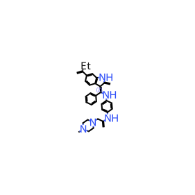 C=C(CN1CCN(C)CC1)Nc1ccc(N/C(c2ccccc2)=c2\c(=C)[nH]c3cc(C(=C)CC)ccc23)cc1